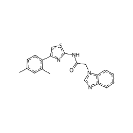 Cc1ccc(-c2csc(NC(=O)Cn3cnc4ccccc43)n2)c(C)c1